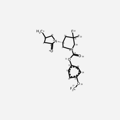 CC1CC(=O)N([C@H]2CN(C(=O)Oc3ccc(OC(F)(F)F)cc3)CC(F)(F)C2)C1